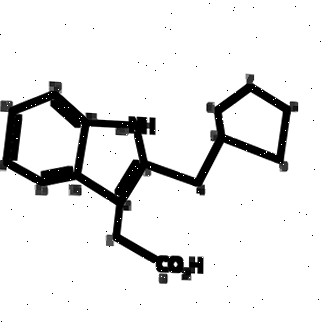 O=C(O)Cc1c(CC2CCCC2)[nH]c2ccccc12